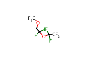 FC(F)(F)OCC(F)(F)OC(F)(F)C(F)(F)F